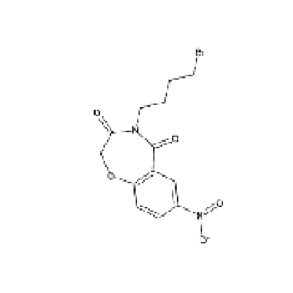 O=C1COc2ccc([N+](=O)[O-])cc2C(=O)N1CCCCBr